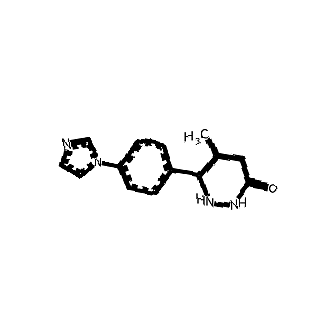 CC1CC(=O)NNC1c1ccc(-n2ccnc2)cc1